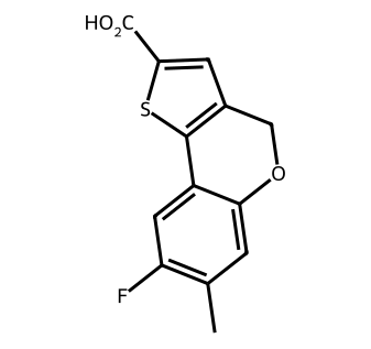 Cc1cc2c(cc1F)-c1sc(C(=O)O)cc1CO2